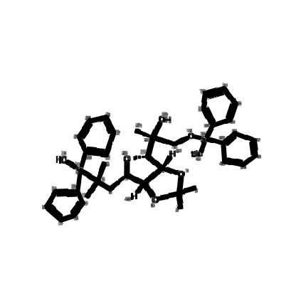 CC1(C)O[C@@H]2[C@H](O1)[C@@H](CC(C)(C)[Si](O)(c1ccccc1)c1ccccc1)O[C@@H]2[C@](C)(O)CO[Si](c1ccccc1)(c1ccccc1)C(C)(C)C